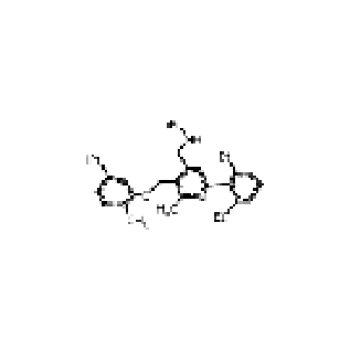 CCc1cccc(CC)c1-c1cc(CNC(C)C)c(COc2cc(C(C)C)ccc2C)c(C)n1